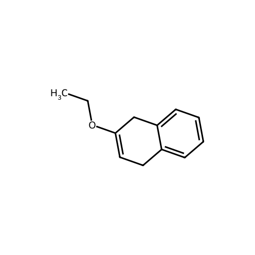 CCOC1=CCc2ccccc2C1